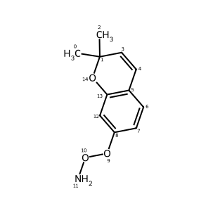 CC1(C)C=Cc2ccc(OON)cc2O1